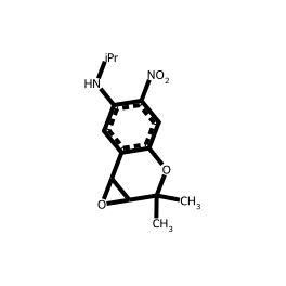 CC(C)Nc1cc2c(cc1[N+](=O)[O-])OC(C)(C)C1OC21